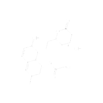 CCC(C)C(=O)O[C@@H]1CC(C)C=C2C=CC(O)[C@H](CCC3C[C@@H](O)CC(=O)O3)C21